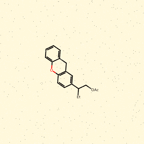 CCC(COC(C)=O)c1ccc2c(c1)Cc1ccccc1O2